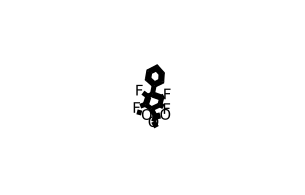 COC(=O)C1(OC)C(F)=C(F)C(c2ccccc2)=C(F)C1F